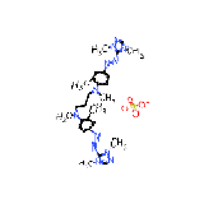 Cc1cc(/N=N/c2n(C)nc[n+]2C)ccc1N(C)CCCN(C)c1ccc(/N=N/c2n(C)nc[n+]2C)cc1C.O=S(=O)([O-])[O-]